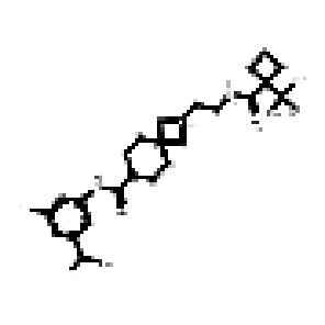 O=C(Nc1cc(F)cc(C(F)F)c1)C1CCC2(CC1)CN(CCNC(=O)C1(C(F)(F)F)CCC1)C2